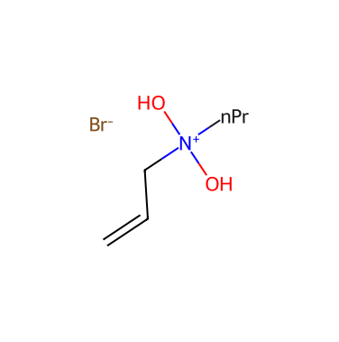 C=CC[N+](O)(O)CCC.[Br-]